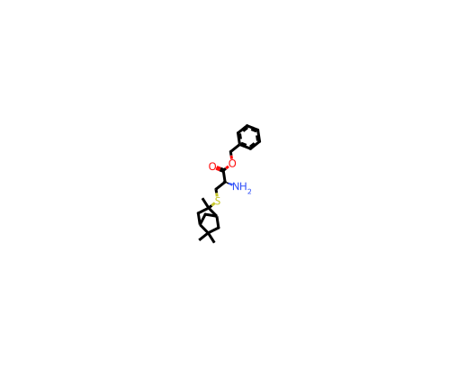 CC1(C)CC2CC1CC2(C)SC[C@H](N)C(=O)OCc1ccccc1